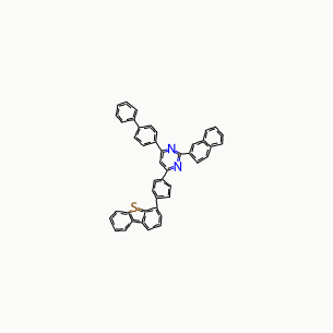 c1ccc(-c2ccc(-c3cc(-c4ccc(-c5cccc6c5sc5ccccc56)cc4)nc(-c4ccc5ccccc5c4)n3)cc2)cc1